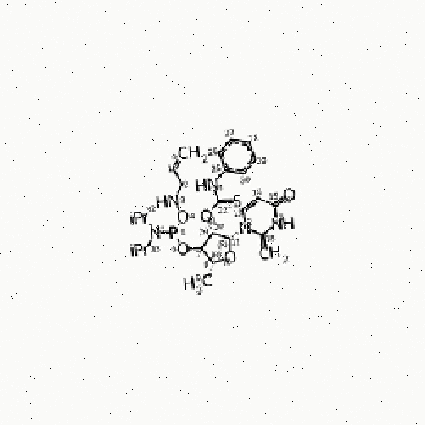 C=CCNOP(OC1[C@@H](C)O[C@@H](N2C=CC(=O)NC2=C)[C@H]1OC(=S)Nc1ccccc1)N(C(C)C)C(C)C